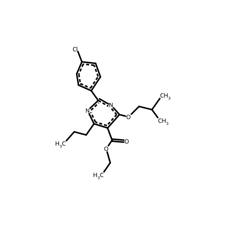 CCCc1nc(-c2ccc(Cl)cc2)nc(OCC(C)C)c1C(=O)OCC